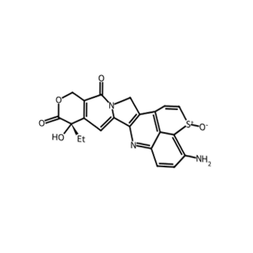 CC[C@@]1(O)C(=O)OCc2c1cc1n(c2=O)Cc2c-1nc1ccc(N)c3c1c2C=C[S+]3[O-]